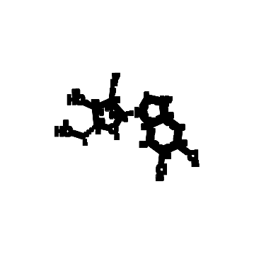 OC[C@H]1O[C@@H](n2cnc3cc(Cl)c(Cl)cc32)[C@H](F)[C@@H]1O